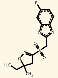 CCC1(C)CC(S(=O)(=O)Cc2nc3ccc(F)cc3o2)=NO1